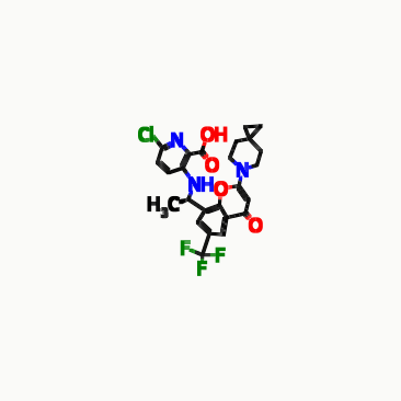 C[C@@H](Nc1ccc(Cl)nc1C(=O)O)c1cc(C(F)(F)F)cc2c(=O)cc(N3CCC4(CC3)CC4)oc12